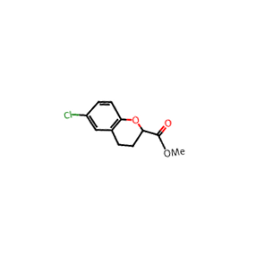 COC(=O)C1CCc2cc(Cl)ccc2O1